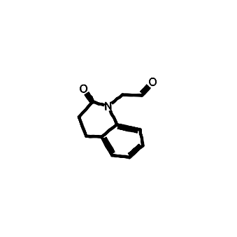 O=CCN1C(=O)CCc2ccccc21